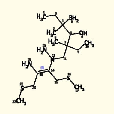 BC(C)(CC)C(O)C(C)(CC)CN(N)/C(CSC)=C(\N)CSC